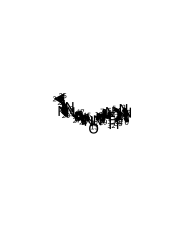 Cn1nnc(CN2CC3(C2)CN(C(=O)N2CC4(CC(n5cnc(C6CC6)n5)C4)C2)C3)c1C(F)(F)F